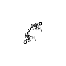 CN(C(=O)CC1=CCCC=C1)c1nnc(CCSCCc2nnc(N(C)C(=O)Cc3ccccc3)s2)s1